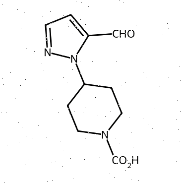 O=Cc1ccnn1C1CCN(C(=O)O)CC1